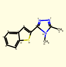 Cc1nnc(-c2cc3ccccc3s2)n1C